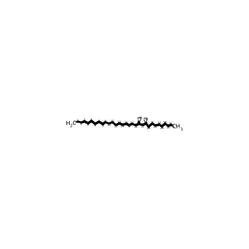 CCCCCCCCCCCCCCCCCCCC(=O)CC(=O)CCCCCCCCC